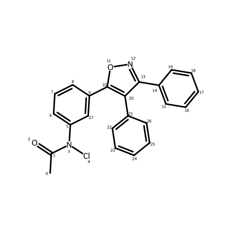 CC(=O)N(Cl)c1cccc(-c2onc(-c3ccccc3)c2-c2ccccc2)c1